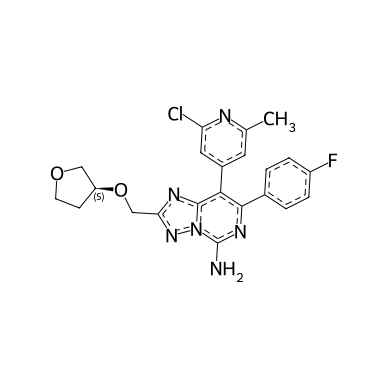 Cc1cc(-c2c(-c3ccc(F)cc3)nc(N)n3nc(CO[C@H]4CCOC4)nc23)cc(Cl)n1